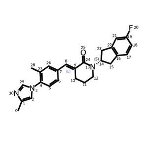 Cc1cn(-c2ccc(/C=C3\CCCN([C@H]4Cc5ccc(F)cc5C4)C3=O)cc2C)cn1